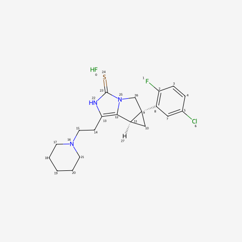 F.Fc1ccc(Cl)cc1[C@]12C[C@H]1c1c(CCN3CCCCC3)[nH]c(=S)n1C2